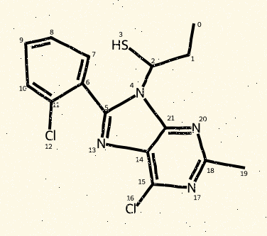 CCC(S)n1c(-c2ccccc2Cl)nc2c(Cl)nc(C)nc21